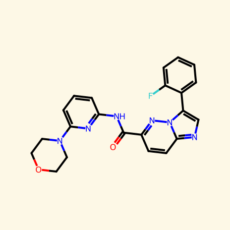 O=C(Nc1cccc(N2CCOCC2)n1)c1ccc2ncc(-c3ccccc3F)n2n1